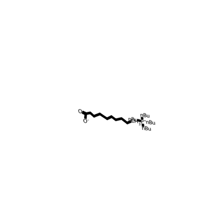 CCCCCCCCCC(=O)[O-].CCCC[P+](CCCC)(CCCC)CCCC